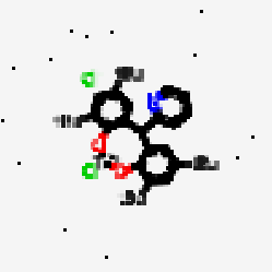 CC(C)(C)c1cc2c(c(C(C)(C)C)c1)[O][Ti+2][O]c1c(cc(C(C)(C)C)cc1C(C)(C)C)C2c1ccccn1.[Cl-].[Cl-]